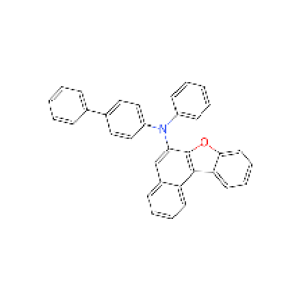 c1ccc(-c2ccc(N(c3ccccc3)c3cc4ccccc4c4c3oc3ccccc34)cc2)cc1